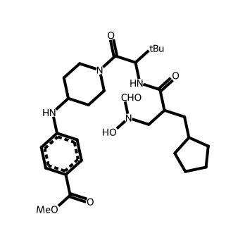 COC(=O)c1ccc(NC2CCN(C(=O)C(NC(=O)C(CC3CCCC3)CN(O)C=O)C(C)(C)C)CC2)cc1